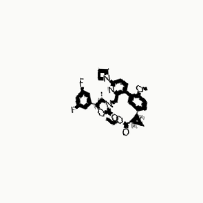 CCOC(=O)[C@@H]1C[C@H]1c1ccc(OC)c(-c2ccc(N3CCC3)nc2CN2C(=O)O[C@H](c3cc(F)cc(F)c3)[C@@H]2C)c1